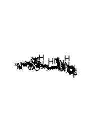 CNc1nc(Nc2ccc(F)cc2)ncc1C#CCCCNC(=O)[C@@H]1CCN1C(=O)C=CCN(C)C